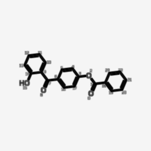 O=C(Oc1ccc(C(=O)c2ccccc2O)cc1)c1ccccc1